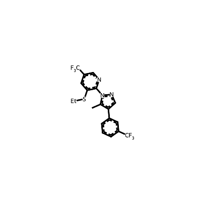 CCSc1cc(C(F)(F)F)cnc1-n1ncc(-c2cccc(C(F)(F)F)c2)c1C